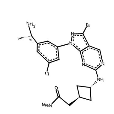 CNC(=O)C[C@H]1C[C@H](Nc2ncc3c(Br)nn(-c4cc(Cl)cc([C@H](C)N)c4)c3n2)C1